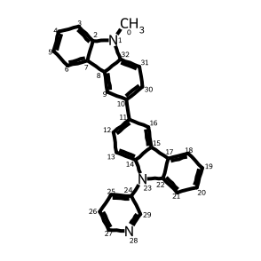 Cn1c2ccccc2c2cc(-c3ccc4c(c3)c3ccccc3n4-c3cccnc3)ccc21